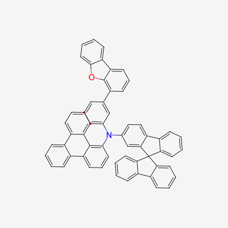 c1cc(-c2cccc3c2oc2ccccc23)cc(N(c2ccc3c(c2)C2(c4ccccc4-c4ccccc42)c2ccccc2-3)c2cccc3c4ccccc4c4ccccc4c23)c1